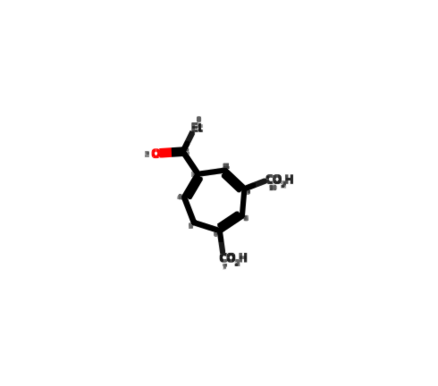 CCC(=O)C1=CCC(C(=O)O)=CC(C(=O)O)=C1